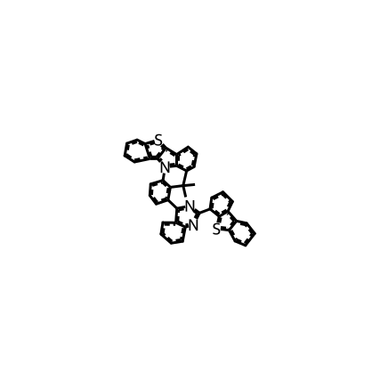 CC1(C)c2c(-c3nc(-c4cccc5c4sc4ccccc45)nc4ccccc34)cccc2-n2c3c1cccc3c1sc3ccccc3c12